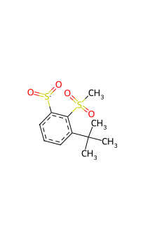 CC(C)(C)c1cccc([S](=O)=O)c1S(C)(=O)=O